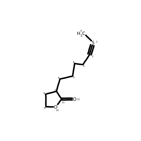 CS#CCCCCC1CCOC1=O